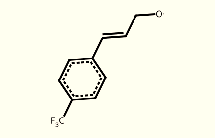 [O]CC=Cc1ccc(C(F)(F)F)cc1